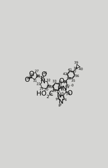 C[C@H](NC(=O)c1cn(C)cn1)[C@H](Oc1ccc(C(=O)O)c([C@@H]2CCCN(C(=O)[C@H]3COC(=O)C3)C2)c1)c1ccc(C2CC2)cc1